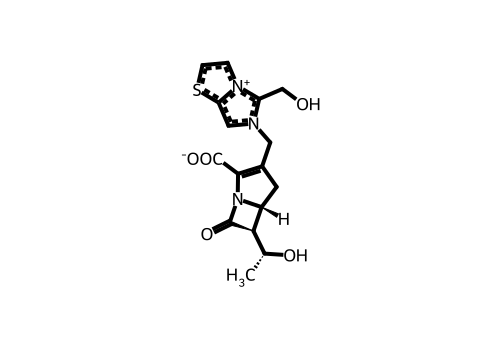 C[C@@H](O)[C@H]1C(=O)N2C(C(=O)[O-])=C(Cn3cc4scc[n+]4c3CO)C[C@H]12